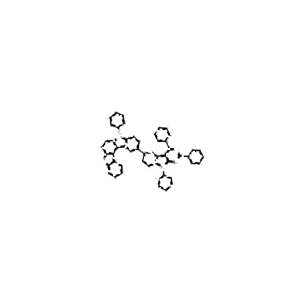 c1ccc(-c2nc(-c3ccccc3)c3c4cc(-c5ccc6c(c5)c5c7c(ccc5n6-c5ccccc5)oc5ccccc57)ccc4n(-c4ccccc4)c3n2)cc1